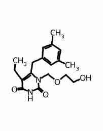 CCc1c(Cc2cc(C)cc(C)c2)n(COCCO)c(=O)[nH]c1=O